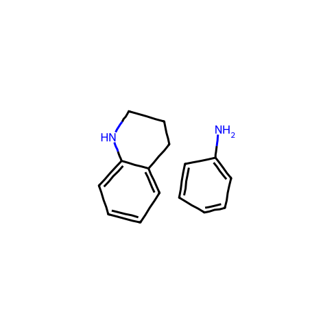 Nc1ccccc1.c1ccc2c(c1)CCCN2